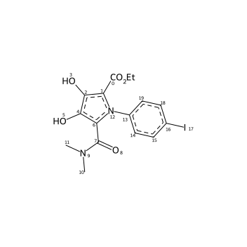 CCOC(=O)c1c(O)c(O)c(C(=O)N(C)C)n1-c1ccc(I)cc1